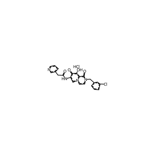 Cl.O=C(Cc1cccnc1)Nc1cn2ccn(Cc3cccc(Cl)c3)c(=O)c2c(O)c1=O